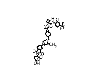 C[C@@H]1CN(c2ccc3c(c2)C(=O)N(C2CCC(=O)NC2=O)C3=O)CCN1CC1CCN(c2cnn(C3(C(=O)Nc4ccc(C(F)(F)F)cc4Cl)CCC3)c2)CC1